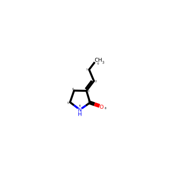 CC/C=C1\CCNC1=O